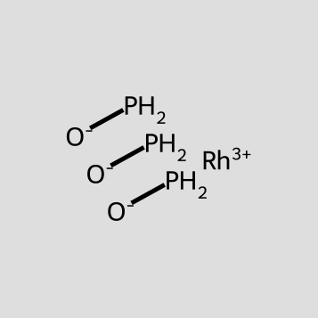 [O-]P.[O-]P.[O-]P.[Rh+3]